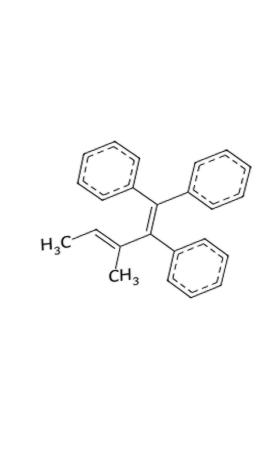 CC=C(C)C(=C(c1ccccc1)c1ccccc1)c1ccccc1